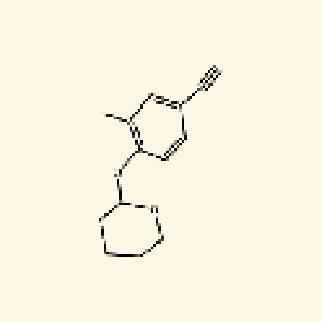 C#Cc1ccc(OC2CCCCO2)c(C)c1